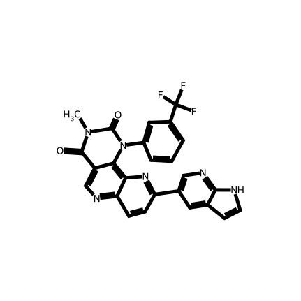 Cn1c(=O)c2cnc3ccc(-c4cnc5[nH]ccc5c4)nc3c2n(-c2cccc(C(F)(F)F)c2)c1=O